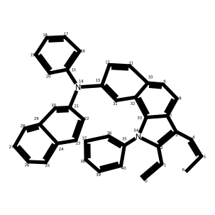 C=Cc1c(/C=C\C)c2ccc3ccc(N(c4ccccc4)c4ccc5ccccc5c4)cc3c2n1-c1ccccc1